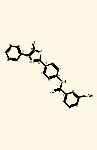 COc1cccc(C(=O)Nc2ccc(-c3nc(-c4ccccc4)c(C(F)(F)F)o3)cc2)c1